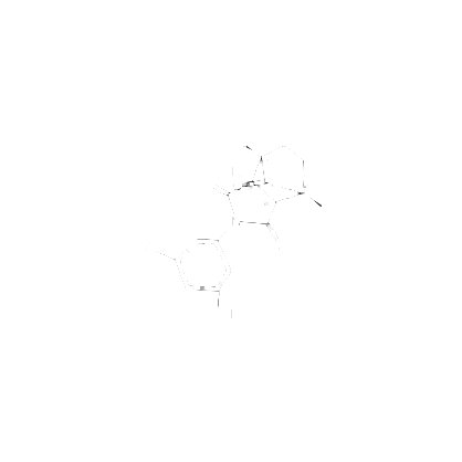 Cc1cc(C)cc(N2C(=O)[C@@H]3[C@H]4CC[C@H](C(=O)C4)[C@@H]3C2=O)c1